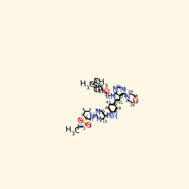 C/C=C/S(=O)(=O)C1CCCN(c2ncc(Nc3ccc(-c4cc5c(N6CCOCC6)ncnc5n4COCC[Si](C)(C)C)cc3)cn2)C1